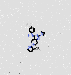 FC(F)(F)c1ccc(NC2N=C(N3CCC3)N=C3CCN(c4ncccc4C(F)(F)F)CC=C32)cc1